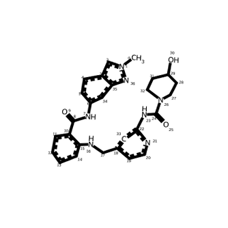 Cn1cc2ccc(NC(=O)c3ccccc3NCc3ccnc(NC(=O)N4CCC(O)CC4)c3)cc2n1